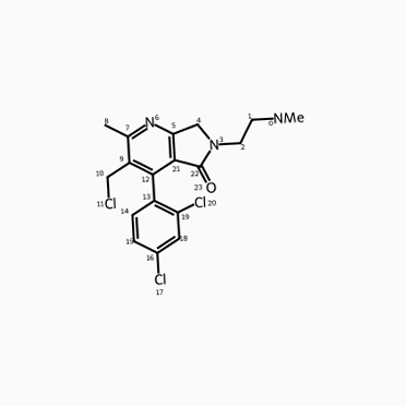 CNCCN1Cc2nc(C)c(CCl)c(-c3ccc(Cl)cc3Cl)c2C1=O